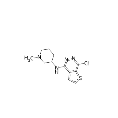 CN1CCCC(Nc2nnc(Cl)c3sccc23)C1